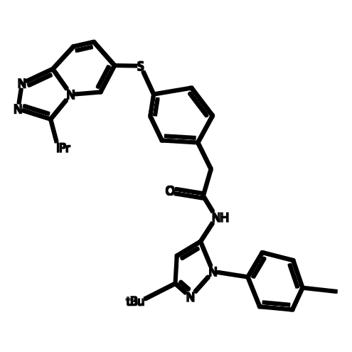 Cc1ccc(-n2nc(C(C)(C)C)cc2NC(=O)Cc2ccc(Sc3ccc4nnc(C(C)C)n4c3)cc2)cc1